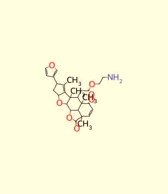 CC1=C2C(CC1c1ccoc1)OC1C3OC(=O)C4(C)C=CC(=O)C(C)(C34)C(CC(=O)OCCN)C21C